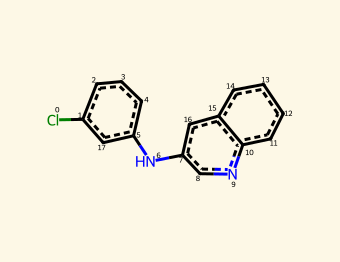 Clc1cccc(Nc2cnc3ccccc3c2)c1